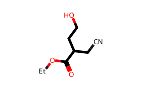 CCOC(=O)C(CC#N)CCO